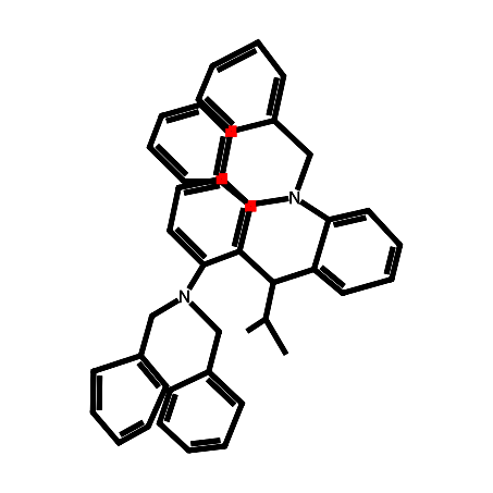 CC(C)C(c1ccccc1N(Cc1ccccc1)Cc1ccccc1)c1ccccc1N(Cc1ccccc1)Cc1ccccc1